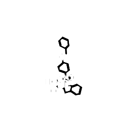 O=C(O)[C@H]1Cc2ccccc2N1S(=O)(=O)c1ccc(OCc2ccccc2)cc1